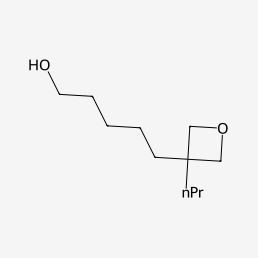 CCCC1(CCCCCO)COC1